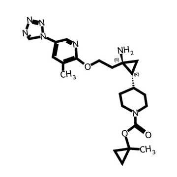 Cc1cc(-n2cnnn2)cnc1OCC[C@]1(N)C[C@@H]1C1CCN(C(=O)OC2(C)CC2)CC1